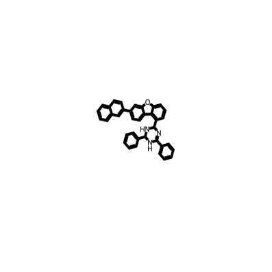 c1ccc(C2=NC(c3cccc4oc5cc(-c6ccc7ccccc7c6)ccc5c34)NC(c3ccccc3)N2)cc1